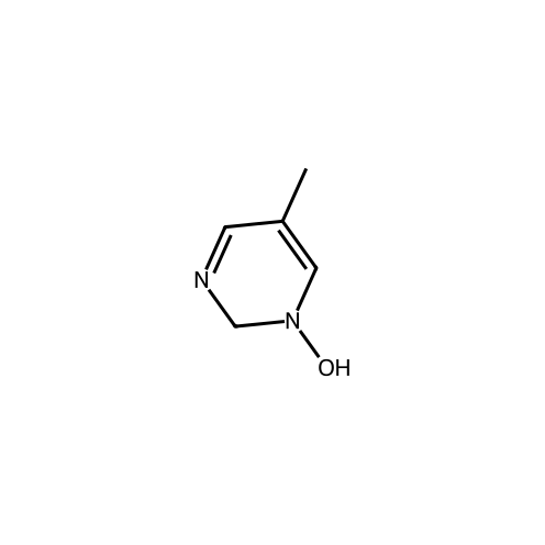 CC1=CN(O)CN=C1